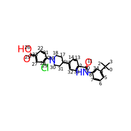 CC(C)(C)c1cccc(NC(=O)c2ccc(C3CCN(c4ccc(C(=O)O)cc4Cl)CC3)cc2)c1